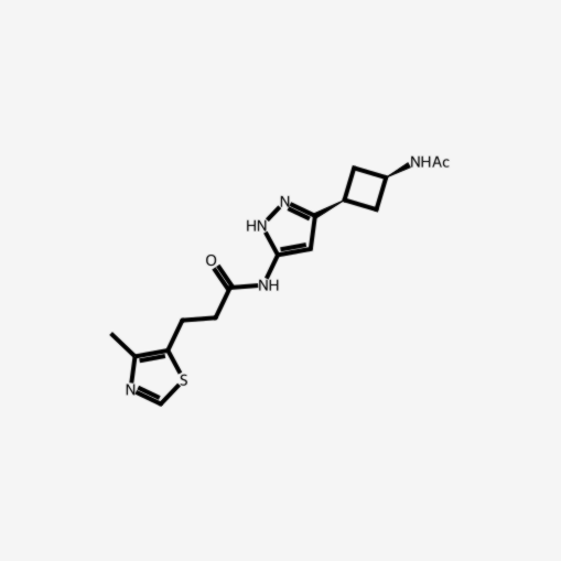 CC(=O)N[C@H]1C[C@@H](c2cc(NC(=O)CCc3scnc3C)[nH]n2)C1